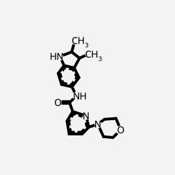 CC1Nc2ccc(NC(=O)c3cccc(N4CCOCC4)n3)cc2C1C